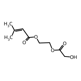 CC(C)=CC(=O)OCCOC(=O)CO